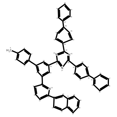 Cc1ccc(-c2cc(-c3cccc(-c4ccc5ccccc5c4)n3)cc(-c3nc(-c4ccc(-c5ccccc5)cc4)nc(-c4ccc(-c5ccccc5)cc4)n3)c2)cc1